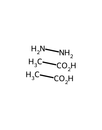 CC(=O)O.CC(=O)O.NN